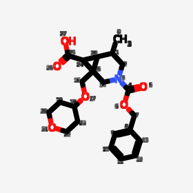 CC1CN(C(=O)OCc2ccccc2)CC2(COC3CCOCC3)C(C(=O)O)C12